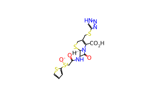 O=C(C[S+]([O-])c1cccs1)NC1C(=O)N2C(C(=O)O)=C(CSc3c[nH]nn3)CS[C@H]12